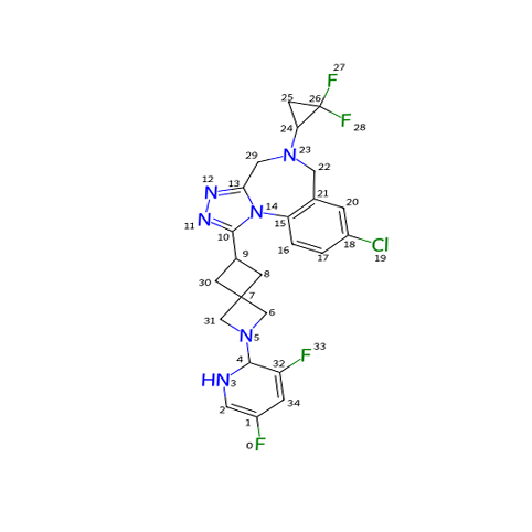 FC1=CNC(N2CC3(CC(c4nnc5n4-c4ccc(Cl)cc4CN(C4CC4(F)F)C5)C3)C2)C(F)=C1